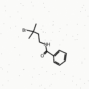 CC(C)(Br)CCNC(=O)c1ccccc1